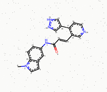 Cn1ccc2cc(NC(=O)/C=C/c3cnccc3-c3cn[nH]c3)ccc21